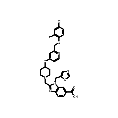 O=C(O)c1ccc2nc(CN3CCC(Oc4ccnc(COc5ccc(Cl)cc5F)c4)CC3)n(Cc3cnco3)c2c1